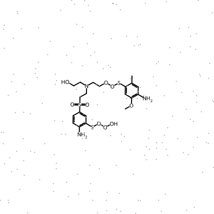 COc1cc(SOOCCN(CCO)CCS(=O)(=O)c2ccc(N)c(SOOO)c2)c(C)cc1N